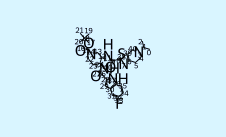 CC(C)N1CCc2nc(C(=O)N[C@@H]3CN(C(=O)OC(C)(C)C)CC[C@@H]3NC(=O)c3cc4cc(F)ccc4[nH]3)sc2C1